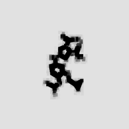 CC(=O)N1C[C@@H](Nc2ccc(OC(F)F)c(OCC3CC3)c2)C[C@H]1C(N)=O